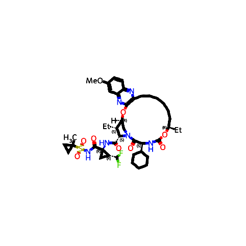 CC[C@@H]1CCCCCCc2nc3ccc(OC)cc3nc2O[C@H]2CN(C(=O)[C@H](C3CCCCC3)NC(=O)O1)[C@H](C(=O)N[C@]1(C(=O)NS(=O)(=O)C3(C)CC3)C[C@H]1C(F)F)[C@@H]2CC